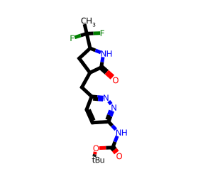 CC(C)(C)OC(=O)Nc1ccc(CC2CC(C(C)(F)F)NC2=O)nn1